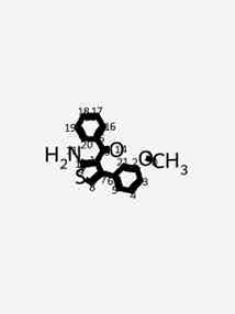 COc1cccc(-c2csc(N)c2C(=O)c2ccccc2)c1